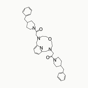 O=C(CN1CCOCCN(CC(=O)N2CCC(Cc3ccccc3)CC2)Cc2cccc(n2)C1)N1CCC(Cc2ccccc2)CC1